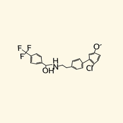 COc1ccc(Cl)c(-c2ccc(CCNCC(O)c3ccc(C(F)(F)F)cc3)cc2)c1